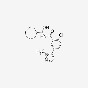 Cn1nccc1-c1ccc(Cl)c(C(=O)NC(O)C2CCCCCC2)c1